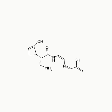 C=C(S)/C=N\C=C/NC(=O)[C@H](CN)[C@@H]1CC=C1O